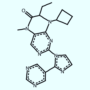 CCC1C(=O)N(C)c2cnc(-n3ccnc3-c3cncnc3)nc2N1C1CCC1